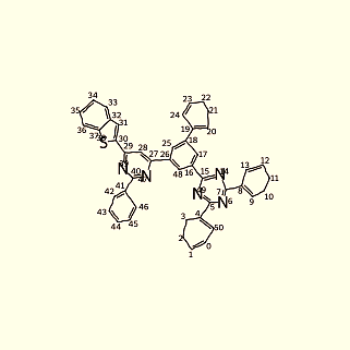 C1=CCCC(c2nc(C3=CCCC=C3)nc(-c3cc(C4=CCCC=C4)cc(-c4cc(-c5cc6ccccc6s5)nc(-c5ccccc5)n4)c3)n2)=C1